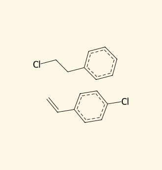 C=Cc1ccc(Cl)cc1.ClCCc1ccccc1